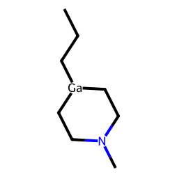 CC[CH2][Ga]1[CH2]CN(C)C[CH2]1